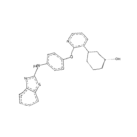 O[C@@H]1CCCC(c2cccnc2Oc2ccc(Nc3nc4ccccc4s3)cc2)C1